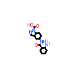 Nc1ccccc1C(=O)Nc1ccc2c(cnn2C(=O)O)c1